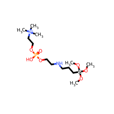 CO[Si](CCCNCCOP(=O)(O)OCC[N+](C)(C)C)(OC)OC